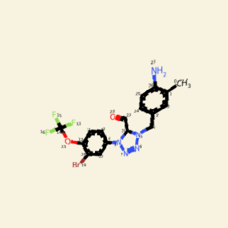 Cc1cc(CN2N=NN(c3ccc(OC(F)(F)F)c(Br)c3)C2C=O)ccc1N